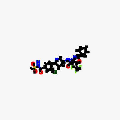 CS(=O)(=O)NC(=O)c1ccc(-c2ccc(NC(=O)c3nc(-c4ccccc4)oc3C(F)(F)F)cn2)c(Cl)c1